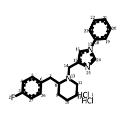 Cl.Cl.Fc1ccc(CC2CCCCN2Cc2cn(-c3ccccc3)cn2)cc1